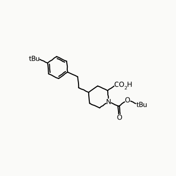 CC(C)(C)OC(=O)N1CCC(CCc2ccc(C(C)(C)C)cc2)CC1C(=O)O